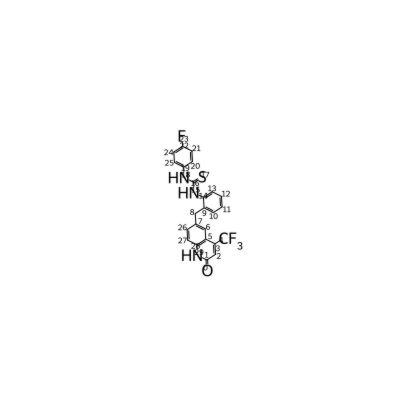 O=c1cc(C(F)(F)F)c2cc(Cc3ccccc3NC(=S)Nc3ccc(F)cc3)ccc2[nH]1